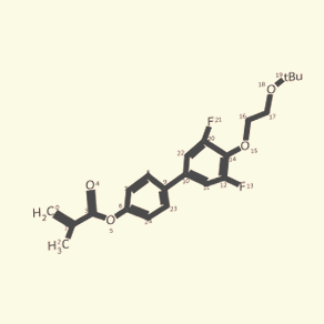 C=C(C)C(=O)Oc1ccc(-c2cc(F)c(OCCOC(C)(C)C)c(F)c2)cc1